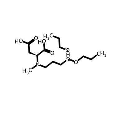 CCCO[SiH](CCCN(C)[C@@H](CC(=O)O)C(=O)O)OCCC